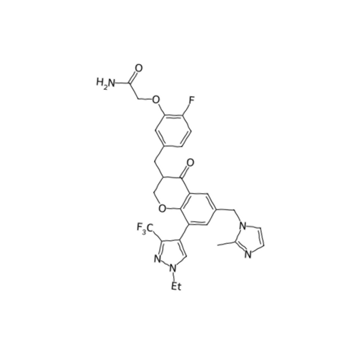 CCn1cc(-c2cc(Cn3ccnc3C)cc3c2OCC(Cc2ccc(F)c(OCC(N)=O)c2)C3=O)c(C(F)(F)F)n1